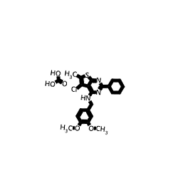 COc1ccc(CNc2nc(C3CCCCC3)nc3sc(C)c(Cl)c23)cc1OC.O=C(O)O